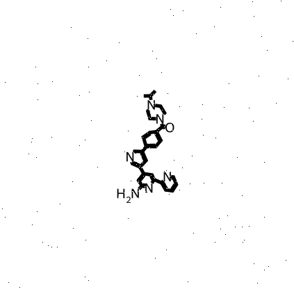 CC(C)N1CCN(C(=O)c2ccc(-c3cncc(-c4cc(N)nc(-c5ccccn5)c4)c3)cc2)CC1